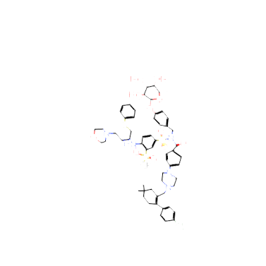 C[C@@H]1O[C@@H](Oc2ccc(CN(C(=O)c3ccc(N4CCN(CC5=C(c6ccc(Cl)cc6)CCC(C)(C)C5)CC4)cc3)S(=O)(=O)c3ccc(NC(CCN4CCOCC4)CSc4ccccc4)c(S(=O)(=O)C(F)(F)F)c3)cc2)[C@@H](O)[C@H](O)[C@@H]1O